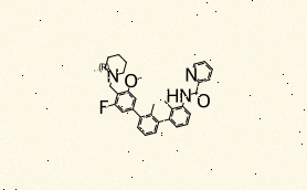 COc1cc(-c2cccc(-c3cccc(NC(=O)c4ccccn4)c3C)c2C)cc(F)c1CN1CCCC[C@H]1C